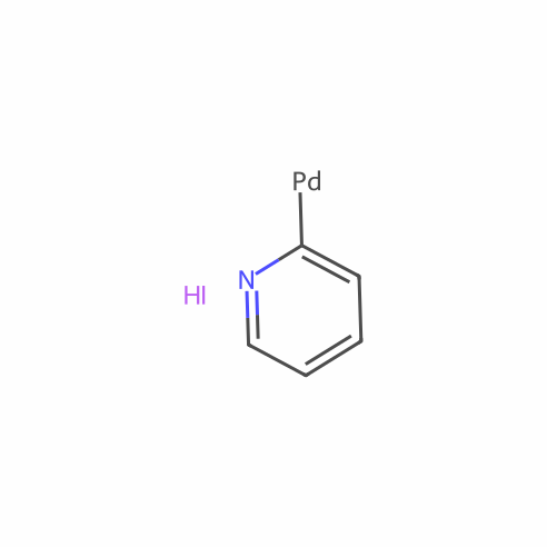 I.[Pd][c]1ccccn1